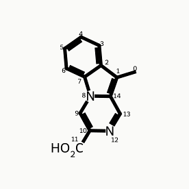 Cc1c2ccccc2n2cc(C(=O)O)ncc12